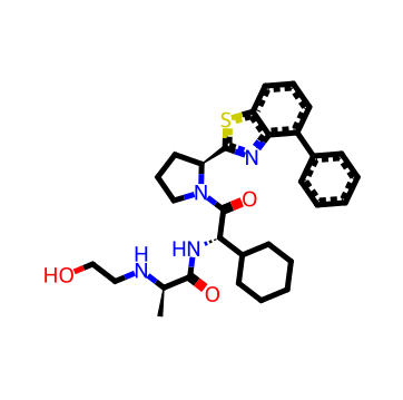 C[C@@H](NCCO)C(=O)N[C@H](C(=O)N1CCC[C@H]1c1nc2c(-c3ccccc3)cccc2s1)C1CCCCC1